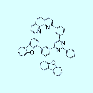 c1ccc(-c2nc(-c3cccc(-c4ccc5ccc6cccnc6c5n4)c3)cc(-c3cc(-c4cccc5c4oc4ccccc45)cc(-c4cccc5c4oc4ccccc45)c3)n2)cc1